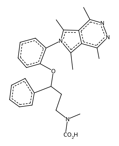 Cc1nnc(C)c2c(C)n(-c3ccccc3OC(CCN(C)C(=O)O)c3ccccc3)c(C)c12